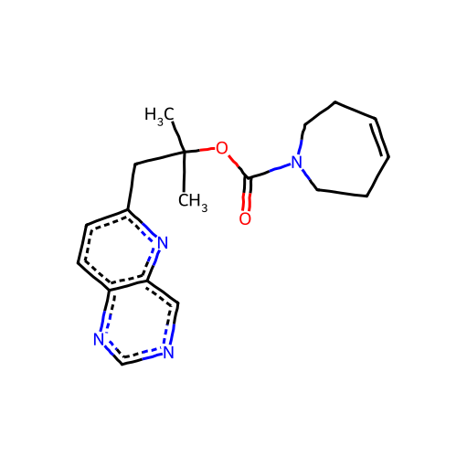 CC(C)(Cc1ccc2ncncc2n1)OC(=O)N1CCC=CCC1